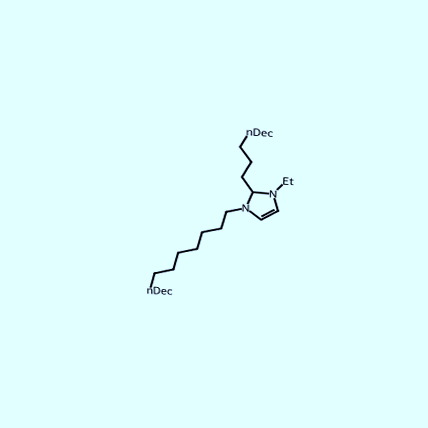 CCCCCCCCCCCCCCCCCN1C=CN(CC)C1CCCCCCCCCCCCC